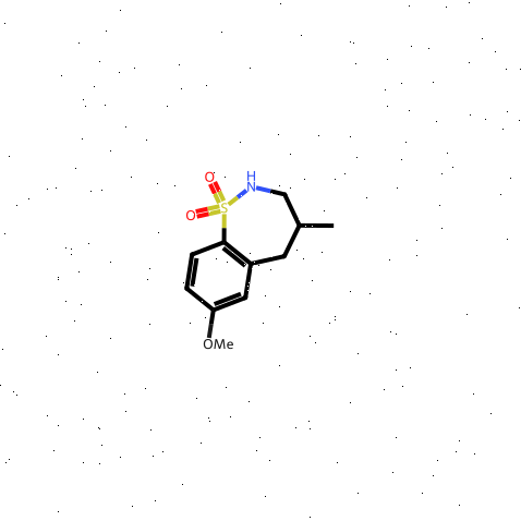 COc1ccc2c(c1)CC(C)CNS2(=O)=O